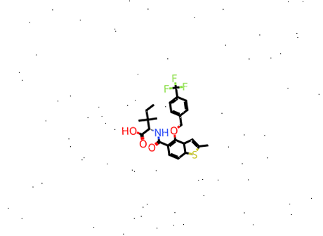 CCC(C)(C)[C@H](NC(=O)C1=C(OCc2ccc(C(F)(F)F)cc2)C2C=C(C)SC2C=C1)C(=O)O